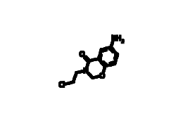 Nc1ccc2c(c1)C(=O)N(CCCl)CO2